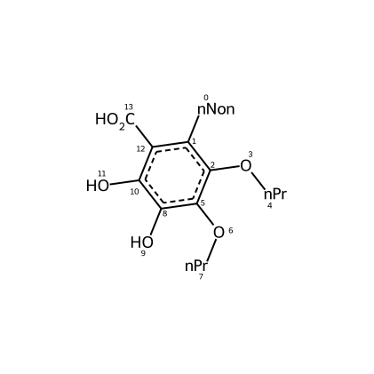 CCCCCCCCCc1c(OCCC)c(OCCC)c(O)c(O)c1C(=O)O